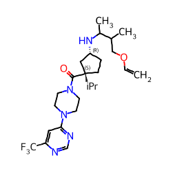 C=COCC(C)C(C)N[C@@H]1CC[C@@](C(=O)N2CCN(c3cc(C(F)(F)F)ncn3)CC2)(C(C)C)C1